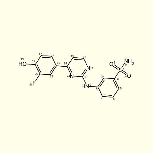 NS(=O)(=O)c1cccc(Nc2nccc(-c3ccc(O)c(F)c3)n2)c1